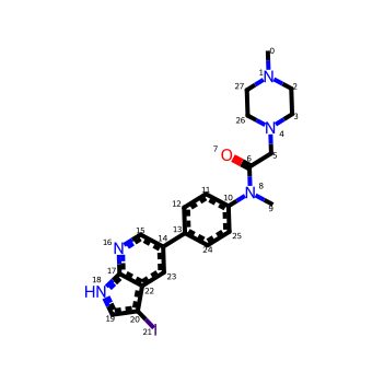 CN1CCN(CC(=O)N(C)c2ccc(-c3cnc4[nH]cc(I)c4c3)cc2)CC1